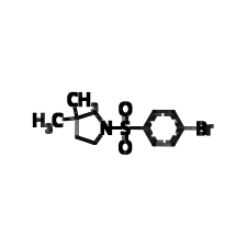 CC1(C)CCN(S(=O)(=O)c2ccc(Br)cc2)C1